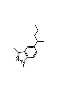 CCCC(C)c1ccc2c(c1)c(C)nn2C